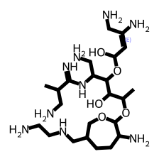 CC(CN)C(=N)NC(CN)C(OC(O)/C=C(/N)CN)C(O)C(C)OC1OCC(CNCCN)CCC1N